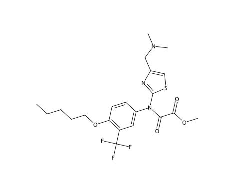 CCCCCOc1ccc(N(C(=O)C(=O)OC)c2nc(CN(C)C)cs2)cc1C(F)(F)F